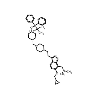 CN(C)Cc1c(OCC2CC2)ccc2c(CCC3CCN(C[C@H]4CC[C@@H](O[Si](c5ccccc5)(c5ccccc5)C(C)(C)C)CC4)CC3)noc12